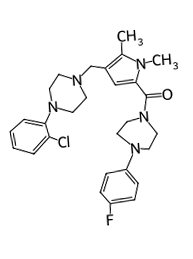 Cc1c(CN2CCN(c3ccccc3Cl)CC2)cc(C(=O)N2CCN(c3ccc(F)cc3)CC2)n1C